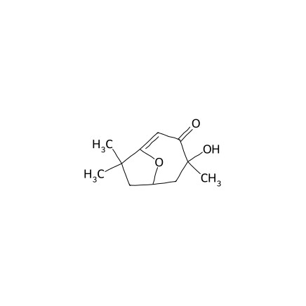 CC1(C)CC2CC(C)(O)C(=O)C=C1O2